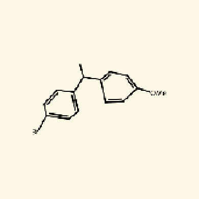 COc1ccc(C(C)c2ccc(Br)cc2)cc1